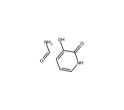 NC=O.O=c1[nH]cccc1O